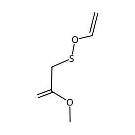 C=COSCC(=C)OC